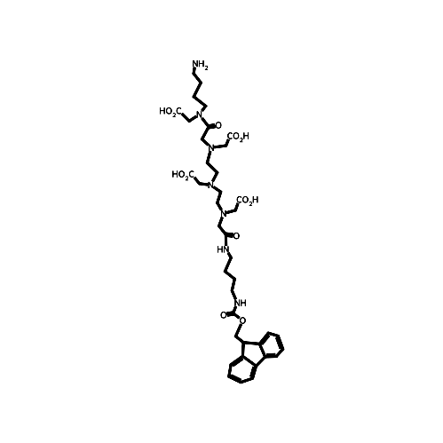 NCCCCN(CC(=O)O)C(=O)CN(CCN(CCN(CC(=O)O)CC(=O)NCCCCNC(=O)OCC1c2ccccc2-c2ccccc21)CC(=O)O)CC(=O)O